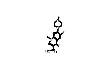 CN1CCN(c2cc3c(cc2F)c(=O)c(C(=O)O)cn3C)CC1